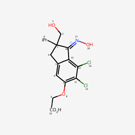 CC(C)C1(CO)Cc2cc(OCC(=O)O)c(Cl)c(Cl)c2/C1=N\O